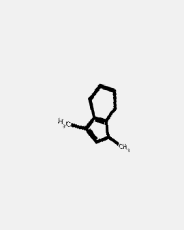 C[C]1C=C(C)C2=C1CCCC2